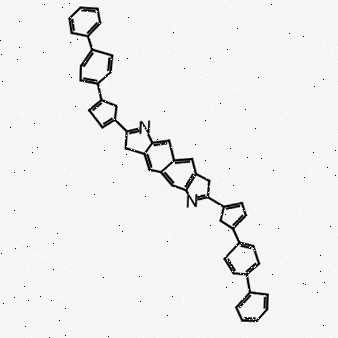 C1=C(C2=Nc3cc4cc5c(cc4cc3C2)N=C(C2=CC=C(c3ccc(-c4ccccc4)cc3)C2)C5)CC(c2ccc(-c3ccccc3)cc2)=C1